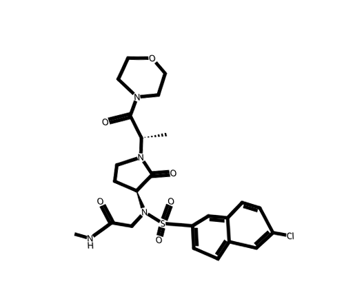 CNC(=O)CN([C@H]1CCN([C@@H](C)C(=O)N2CCOCC2)C1=O)S(=O)(=O)c1ccc2cc(Cl)ccc2c1